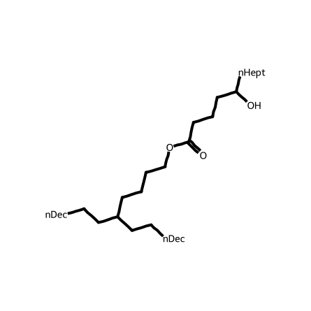 CCCCCCCCCCCCC(CCCCCCCCCCCC)CCCCOC(=O)CCCC(O)CCCCCCC